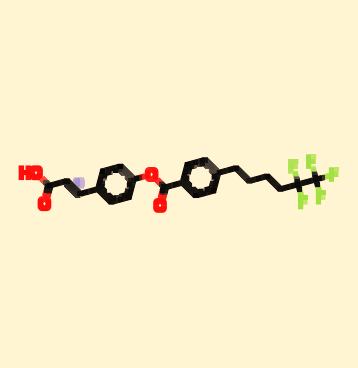 O=C(O)/C=C/c1ccc(OC(=O)c2ccc(CCCCC(F)(F)C(F)(F)F)cc2)cc1